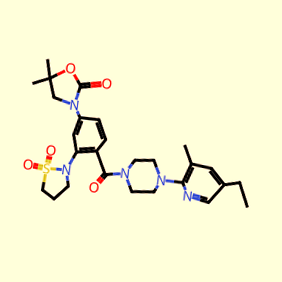 CCc1cnc(N2CCN(C(=O)c3ccc(N4CC(C)(C)OC4=O)cc3N3CCCS3(=O)=O)CC2)c(C)c1